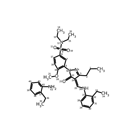 CCCC1=NN(c2cc(S(=O)(=O)N(CC)CC)ccc2OC)C(=O)/C1=C/Nc1ccccc1CC.CCc1ccccc1N